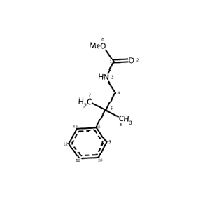 COC(=O)NCC(C)(C)c1ccccc1